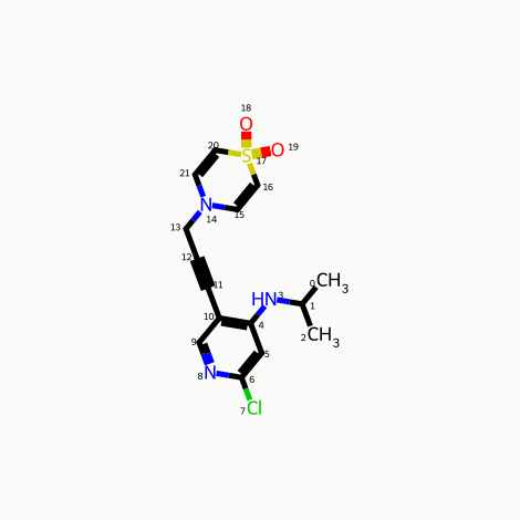 CC(C)Nc1cc(Cl)ncc1C#CCN1C=CS(=O)(=O)C=C1